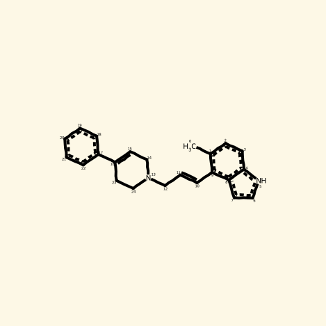 Cc1ccc2[nH]ccc2c1C=CCN1CC=C(c2ccccc2)CC1